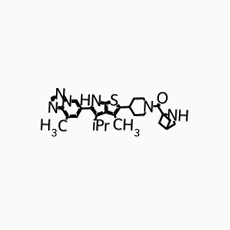 Cc1c(C2CCN(C(=O)C34CC(CN3)C4)CC2)sc2[nH]c(-c3cc(C)c4ncnn4c3)c(C(C)C)c12